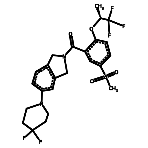 C[C@H](Oc1ccc(S(C)(=O)=O)cc1C(=O)N1Cc2ccc(N3CCC(F)(F)CC3)cc2C1)C(F)(F)F